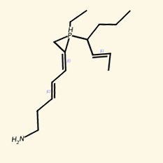 C/C=C/C(CCC)[PH]1(CC)C/C1=C\C=C\CCN